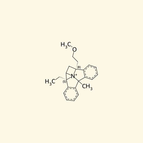 CC[C@]12c3ccccc3C3(C)c4ccccc4[C@]4(CCOC)CC1[N+]342